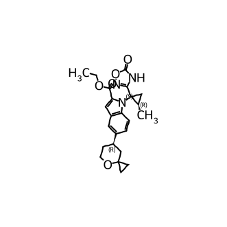 CCOC(=O)c1cc2cc([C@@H]3CCOC4(CC4)C3)ccc2n1[C@@]1(c2noc(=O)[nH]2)C[C@H]1C